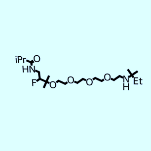 CCC(C)(C)NCCOCCOCCOCCOC(C)(C)C(F)CNC(=O)C(C)C